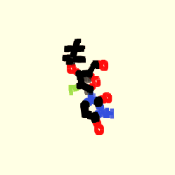 CC(C)(C)[Si](C)(C)OC1C(F)[C@H](n2ccc(=O)[nH]c2=O)O[C@@H]1C=O